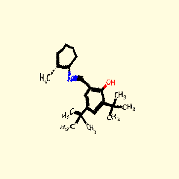 C[C@@H]1CCCC[C@H]1/N=C/c1cc(C(C)(C)C)cc(C(C)(C)C)c1O